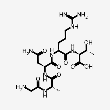 C[C@H](NC(=O)CN)C(=O)N[C@@H](CC(N)=O)C(=O)N[C@@H](CCCNC(=N)N)C(=O)N[C@H](C(=O)O)[C@@H](C)O